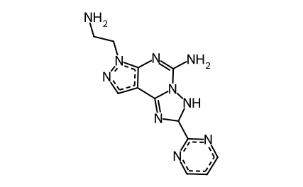 NCCn1ncc2c1N=C(N)N1NC(c3ncccn3)N=C21